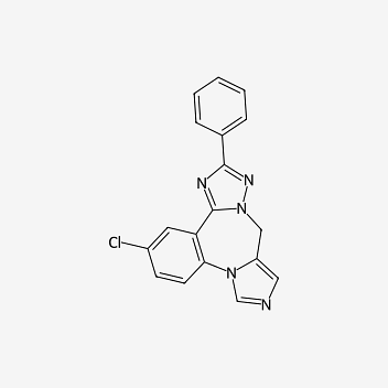 Clc1ccc2c(c1)-c1nc(-c3ccccc3)nn1Cc1cncn1-2